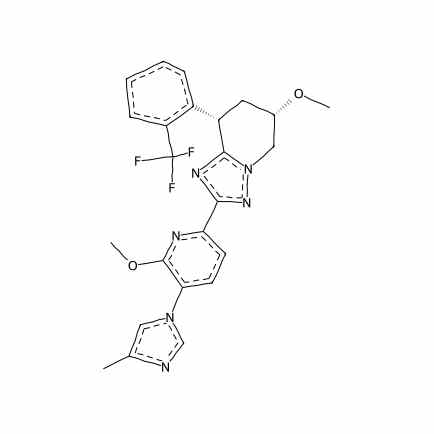 COc1nc(-c2nc3n(n2)C[C@@H](OC)C[C@H]3c2ccccc2C(F)(F)F)ccc1-n1cnc(C)c1